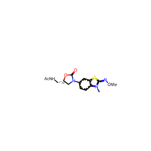 CON=c1sc2cc(N3C[C@H](CNC(C)=O)OC3=O)ccc2n1C